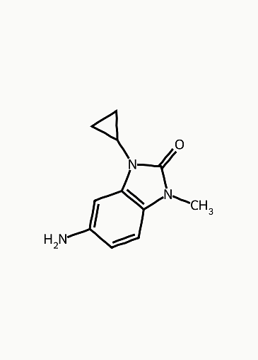 Cn1c(=O)n(C2CC2)c2cc(N)ccc21